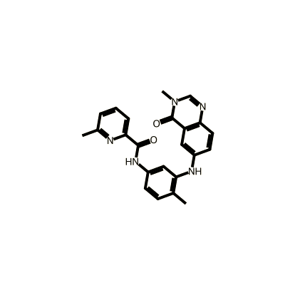 Cc1cccc(C(=O)Nc2ccc(C)c(Nc3ccc4ncn(C)c(=O)c4c3)c2)n1